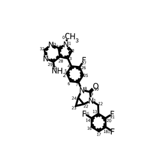 Cn1cc(-c2ccc(N3C(=O)N(Cc4c(F)ccc(F)c4F)C4CC43)cc2F)c2c(N)ncnc21